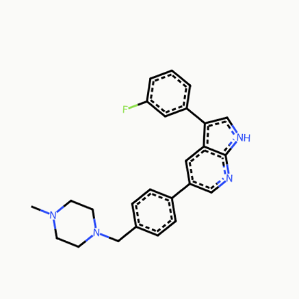 CN1CCN(Cc2ccc(-c3cnc4[nH]cc(-c5cccc(F)c5)c4c3)cc2)CC1